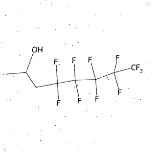 [CH2]C(O)CC(F)(F)C(F)(F)C(F)(F)C(F)(F)C(F)(F)F